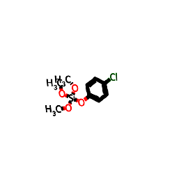 CO[Si](OC)(OC)Oc1ccc(Cl)cc1